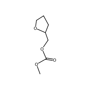 COC(=O)OCC1CCCO1